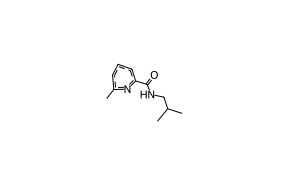 Cc1cccc(C(=O)NCC(C)C)n1